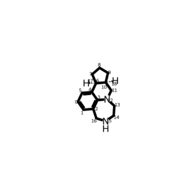 c1cc2c3c(c1)[C@H]1CCC[C@H]1CN3CCNC2